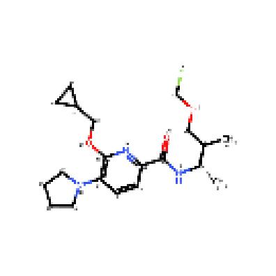 CC(COCF)[C@H](C)NC(=O)c1ccc(N2CCCC2)c(OCC2CC2)n1